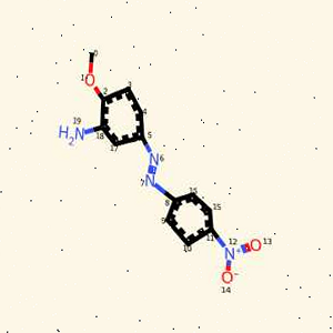 COc1ccc(N=Nc2ccc([N+](=O)[O-])cc2)cc1N